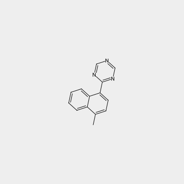 Cc1ccc(-c2ncncn2)c2ccccc12